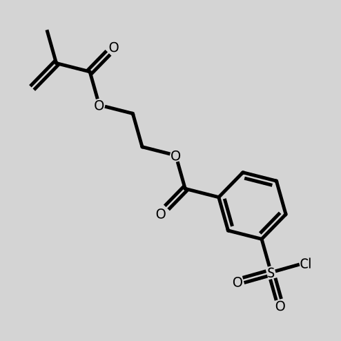 C=C(C)C(=O)OCCOC(=O)c1cccc(S(=O)(=O)Cl)c1